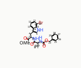 COC(=O)C(Cc1c[nH]c2c(Br)cccc12)NC(=O)[C@@H](NC(=O)OCc1ccccc1)C(C)C